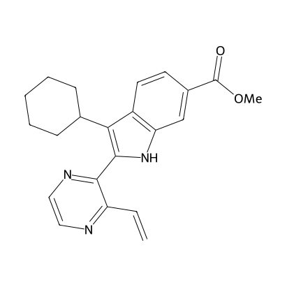 C=Cc1nccnc1-c1[nH]c2cc(C(=O)OC)ccc2c1C1CCCCC1